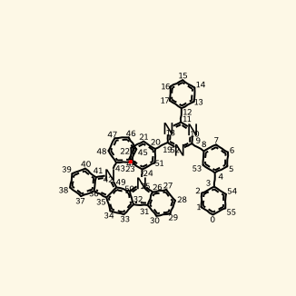 c1ccc(-c2cccc(-c3nc(-c4ccccc4)nc(-c4cccc(-n5c6ccccc6c6ccc7c8ccccc8n(-c8ccccc8)c7c65)c4)n3)c2)cc1